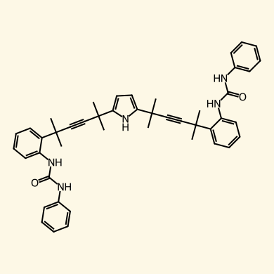 CC(C)(C#CC(C)(C)c1ccccc1NC(=O)Nc1ccccc1)c1ccc(C(C)(C)C#CC(C)(C)c2ccccc2NC(=O)Nc2ccccc2)[nH]1